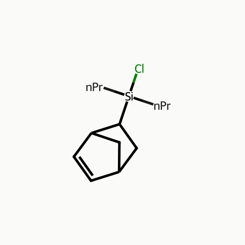 CCC[Si](Cl)(CCC)C1CC2C=CC1C2